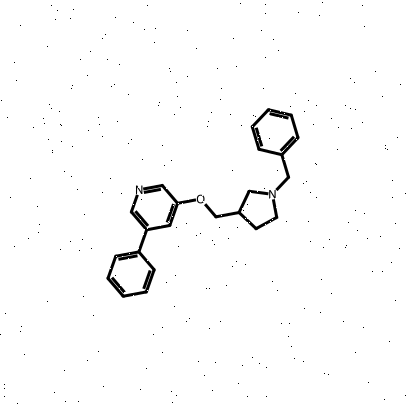 c1ccc(CN2CCC(COc3cncc(-c4ccccc4)c3)C2)cc1